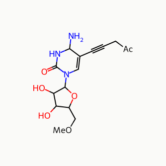 COCC1OC(N2C=C(C#CCC(C)=O)C(N)NC2=O)C(O)C1O